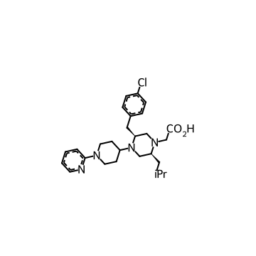 CC(C)C[C@H]1CN(C2CCN(c3ccccn3)CC2)[C@@H](Cc2ccc(Cl)cc2)CN1CC(=O)O